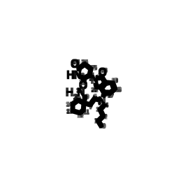 CCCCCN(CCC1(CN)CCCCC1)c1cccc2c1CN(C1CCC(=O)NC1=O)C2=O